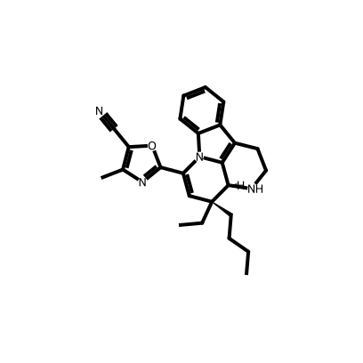 CCCC[C@@]1(CC)C=C(c2nc(C)c(C#N)o2)n2c3c(c4ccccc42)CCN[C@H]31